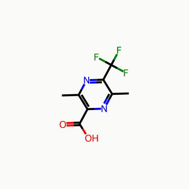 Cc1nc(C(F)(F)F)c(C)nc1C(=O)O